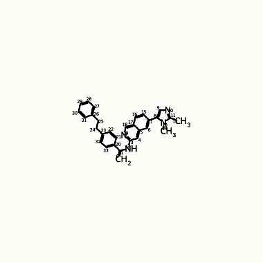 C=C(Nc1cc2cc(-c3cnc(C)n3C)ccc2cn1)c1ccc(CCc2ccccc2)cc1